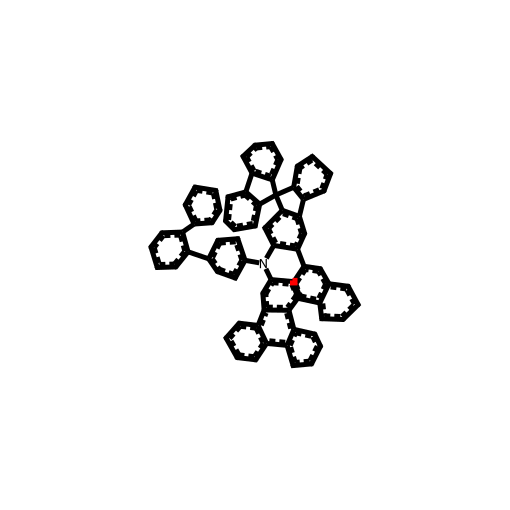 c1ccc(-c2ccccc2-c2ccc(N(c3ccc4c5ccccc5c5ccccc5c4c3)c3cc4c(cc3-c3ccc5ccccc5c3)-c3ccccc3C43c4ccccc4-c4ccccc43)cc2)cc1